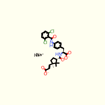 CC1(C)[C@@H](C(=O)N[C@@H](Cc2ccc(NC(=O)c3c(Cl)cccc3Cl)cc2)C(=O)[O-])CC[C@]1(C)/C=C/C(=O)[O-].[Na+].[Na+]